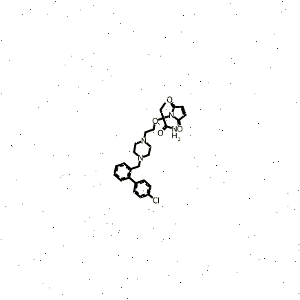 CCC(OCCN1CCN(Cc2ccccc2-c2ccc(Cl)cc2)CC1)(C(N)=O)N1C(=O)C=CC1=O